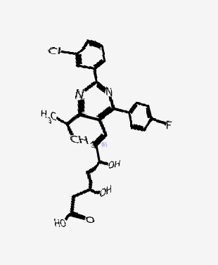 CC(C)c1nc(-c2cccc(Cl)c2)nc(-c2ccc(F)cc2)c1/C=C/C(O)CC(O)CC(=O)O